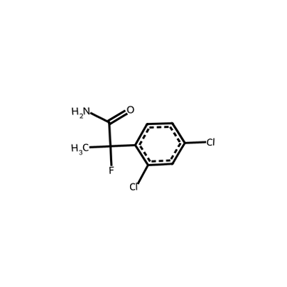 CC(F)(C(N)=O)c1ccc(Cl)cc1Cl